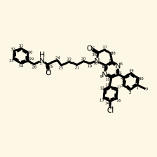 Cc1ccc(-c2nc3c(nc2-c2ccc(Cl)cc2)N(CCCCCCC(=O)NCc2ccccc2)C(=O)CC3)cc1